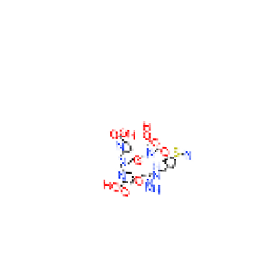 N#CSc1ccc(CCN/C=C(/COc2cc(CN(CCOCCN(CC=O)CC(=O)O)Cc3cccc(C(=O)O)n3)nc(C(=O)O)c2)N=N)cc1